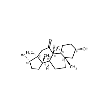 CC(=O)[C@H]1CC[C@@]2(C)[C@@H]3CC[C@@]4(C)C[C@H](O)CC[C@]4(C)[C@@]3(C)C(=O)C[C@]12C